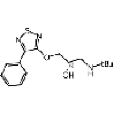 CC(C)(C)NC[C@H](O)COc1nsnc1-c1ccccc1